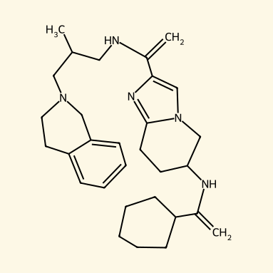 C=C(NCC(C)CN1CCc2ccccc2C1)c1cn2c(n1)CCC(NC(=C)C1CCCCC1)C2